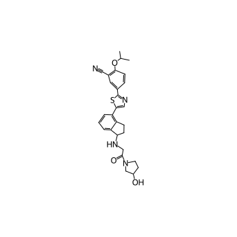 CC(C)Oc1ccc(-c2ncc(-c3cccc4c3CCC4NCC(=O)N3CCC(O)C3)s2)cc1C#N